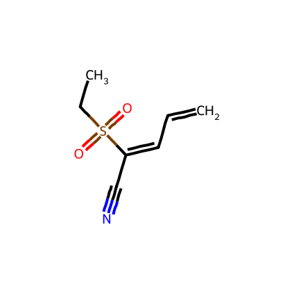 C=C/C=C(/C#N)S(=O)(=O)CC